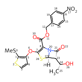 CSc1sccc1OC1=C(C(=O)OCc2ccc([N+](=O)[O-])cc2)N2C(=O)[C@H]([C@@H](C)O)[C@H]2S1